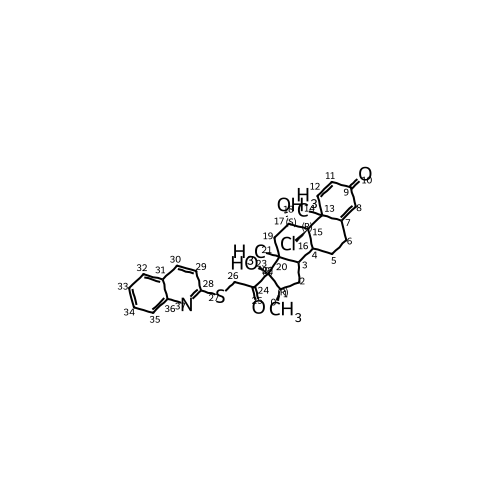 C[C@@H]1CC2C3CCC4=CC(=O)C=CC4(C)[C@@]3(Cl)[C@@H](O)CC2(C)[C@@]1(O)C(=O)CSc1ccc2ccccc2n1